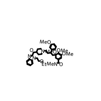 CCOCCn1c(C(=O)C2CCN(CCC(CC3(OC)CC(C(=O)NC)=CC(OC)=C3OC)c3cccc(OC)c3)CC2)nc2ccccc21